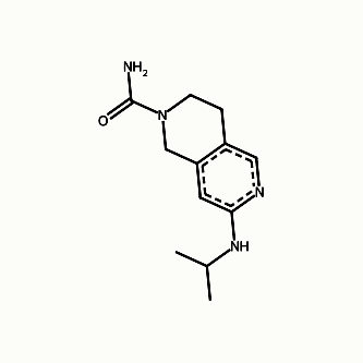 CC(C)Nc1cc2c(cn1)CCN(C(N)=O)C2